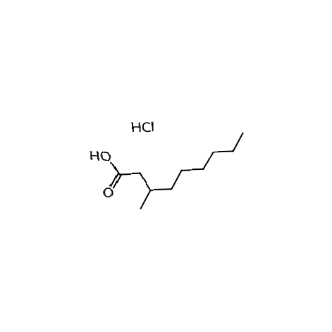 CCCCCCC(C)CC(=O)O.Cl